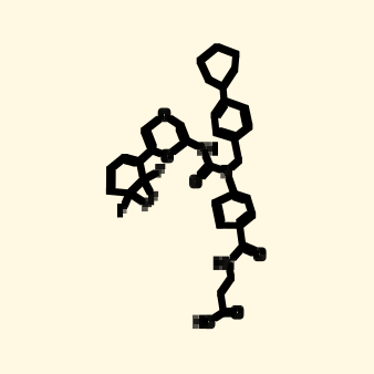 O=C(O)CCNC(=O)c1ccc(N(Cc2ccc(C3CCCCC3)cc2)C(=O)NC2=COC=C(C3=CC=CC(F)(F)C3(F)F)O2)cc1